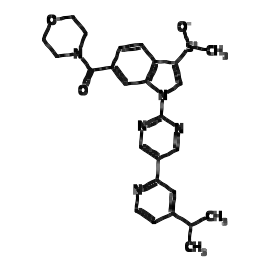 CC(C)c1ccnc(-c2cnc(-n3cc([S+](C)[O-])c4ccc(C(=O)N5CCOCC5)cc43)nc2)c1